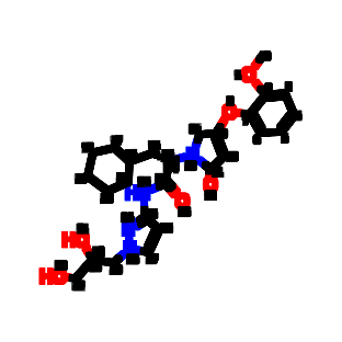 COc1ccccc1OC1=CC(=O)N([C@@H](CC2CCCCC2)C(=O)Nc2ccn(C[C@H](O)CO)n2)C1